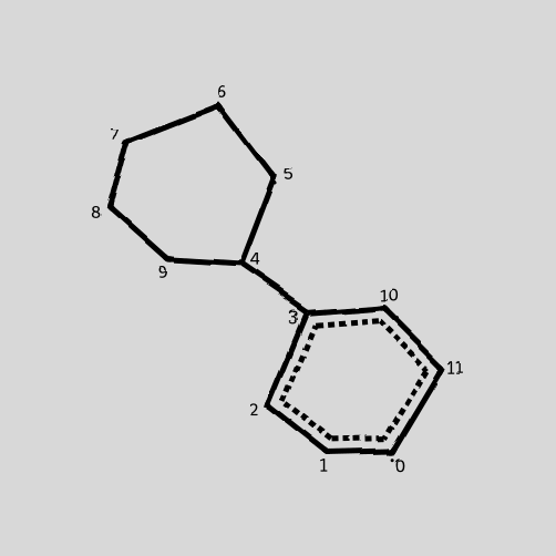 [c]1ccc(C2[CH]CCCC2)cc1